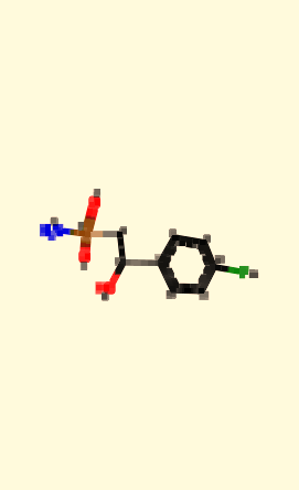 NS(=O)(=O)CC(O)c1ccc(F)cc1